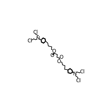 O=C(CCC(=O)OCCCCc1ccc(N(CCCl)CCCl)cc1)OCCCCc1ccc(N(CCCl)CCCl)cc1